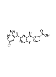 O=C(O)C1CC2CC(Nc3nc(-c4c[nH]c5ncc(Cl)cc45)ncc3F)C1C2